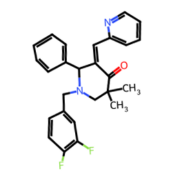 CC1(C)CN(Cc2ccc(F)c(F)c2)C(c2ccccc2)C(=Cc2ccccn2)C1=O